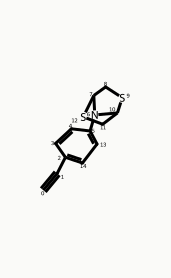 C#Cc1ccc(N2C3CSC2CS3)cc1